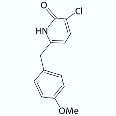 COc1ccc(Cc2ccc(Cl)c(=O)[nH]2)cc1